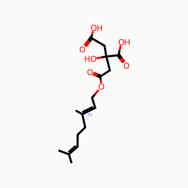 CC(C)=CCC/C(C)=C/COC(=O)CC(O)(CC(=O)O)C(=O)O